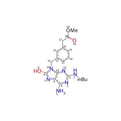 CCCCNc1nc(N)c2nc(O)n(Cc3cccc(CC(=O)OC)c3)c2n1